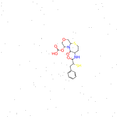 O=C(O)OC1COCC2SCCC(NC(=O)C(S)Cc3ccccc3)C(=O)N12